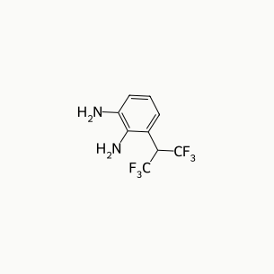 Nc1cccc(C(C(F)(F)F)C(F)(F)F)c1N